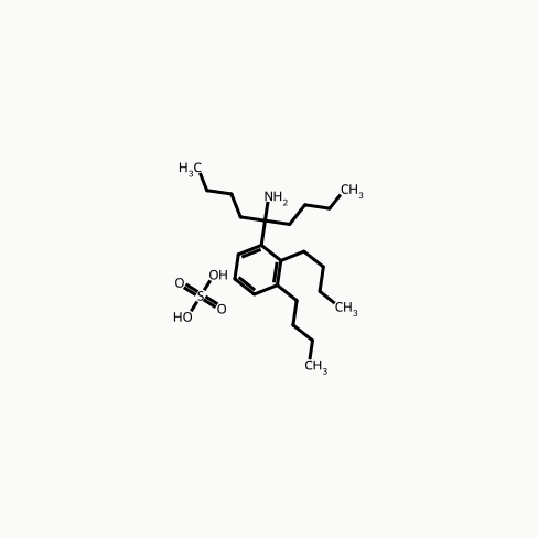 CCCCc1cccc(C(N)(CCCC)CCCC)c1CCCC.O=S(=O)(O)O